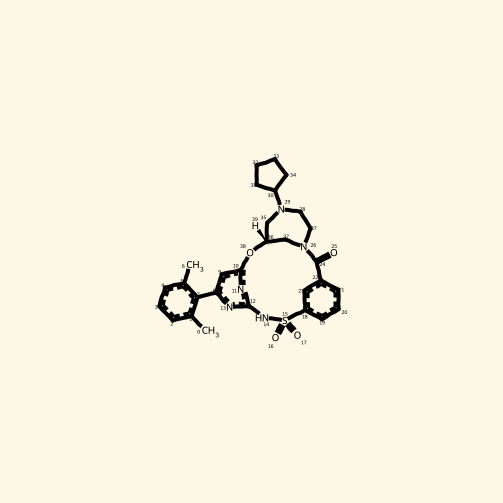 Cc1cccc(C)c1-c1cc2nc(n1)NS(=O)(=O)c1cccc(c1)C(=O)N1CCN(C3CCCC3)C[C@H](C1)O2